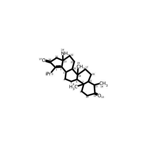 CC(C)C1=C2C3CCC4C5(C)CCC(=O)C(C)C5CCC4(C)C3CCC2(N)CC1=O